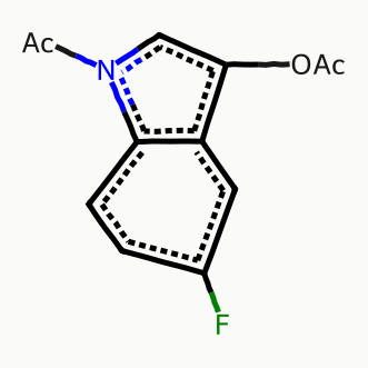 CC(=O)Oc1cn(C(C)=O)c2ccc(F)cc12